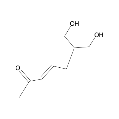 CC(=O)C=CCC(CO)CO